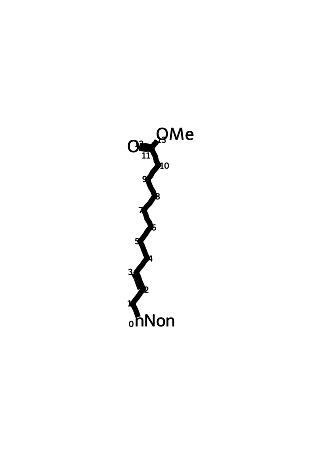 CCCCCCCCCCC=CCCCCCCCC(=O)OC